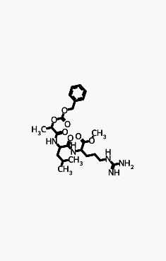 COC(=O)C(CCCNC(=N)N)NC(=O)C(CC(C)C)NC(=O)C(C)OC(=O)OCc1ccccc1